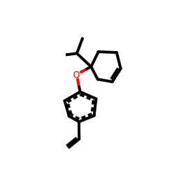 C=Cc1ccc(OC2(C(C)C)CC=CCC2)cc1